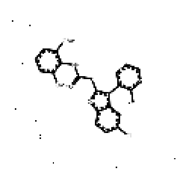 COc1cccc(OC)c1NC(=O)Cc1oc2ccc(Cl)cc2c1-c1ccccc1C